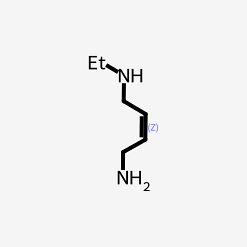 CCNC/C=C\CN